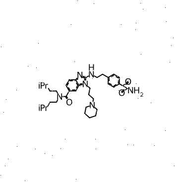 CC(C)CCN(CCC(C)C)C(=O)c1ccc2nc(NCCc3ccc(S(N)(=O)=O)cc3)n(CCCN3CCCCC3)c2c1